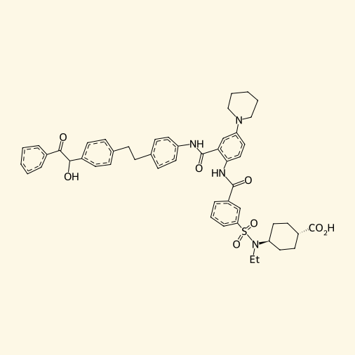 CCN([C@H]1CC[C@H](C(=O)O)CC1)S(=O)(=O)c1cccc(C(=O)Nc2ccc(N3CCCCC3)cc2C(=O)Nc2ccc(CCc3ccc(C(O)C(=O)c4ccccc4)cc3)cc2)c1